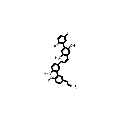 C=CCc1ccc(OI)c(-c2cc(C/C=C\c3cc(O)c(-c4cc(I)ccc4O)cc3C)ccc2OC)c1